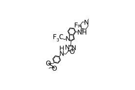 CN1CC[C@H](Nc2cccc3c2cc(-c2noc(CNc4ccc(S(C)(=O)=O)cc4)n2)n3CC(F)(F)F)[C@H](F)C1